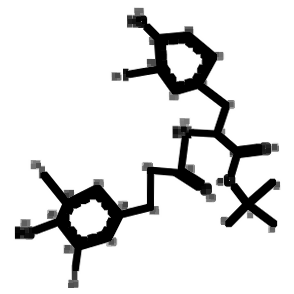 CC(C)(C)OC(=O)C(Cc1ccc(O)c(I)c1)NC(=O)CCc1cc(I)c(O)c(I)c1